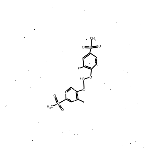 CS(=O)(=O)c1ccc(OBOc2ccc(S(C)(=O)=O)cc2F)c(F)c1